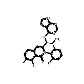 CC[C@H](Nc1ncnc2[nH]cnc12)c1cc2ccc(F)c(Cl)c2c(=O)n1-c1c(F)cccc1F